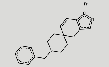 CC(C)n1ncc2c1C=CC1(CCN(Cc3ccccc3)CC1)C2